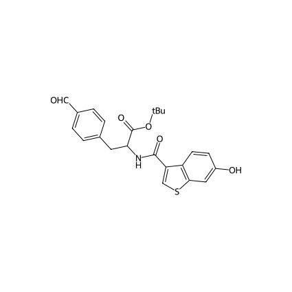 CC(C)(C)OC(=O)C(Cc1ccc(C=O)cc1)NC(=O)c1csc2cc(O)ccc12